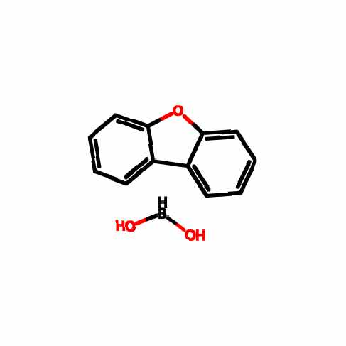 OBO.c1ccc2c(c1)oc1ccccc12